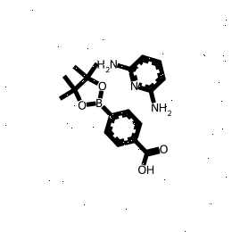 CC1(C)OB(c2ccc(C(=O)O)cc2)OC1(C)C.Nc1cccc(N)n1